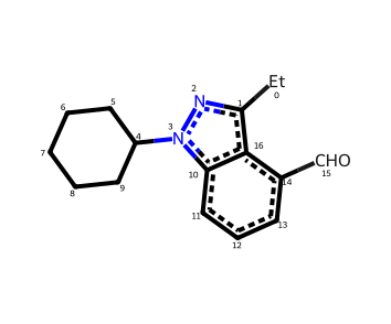 CCc1nn(C2CCCCC2)c2cccc(C=O)c12